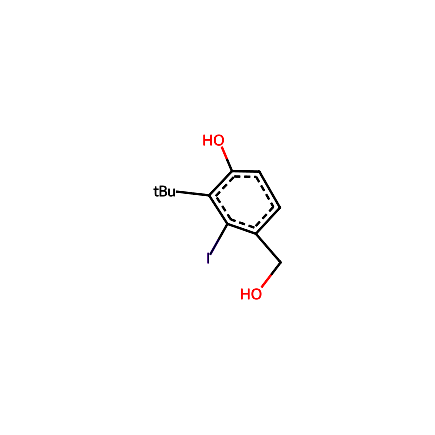 CC(C)(C)c1c(O)ccc(CO)c1I